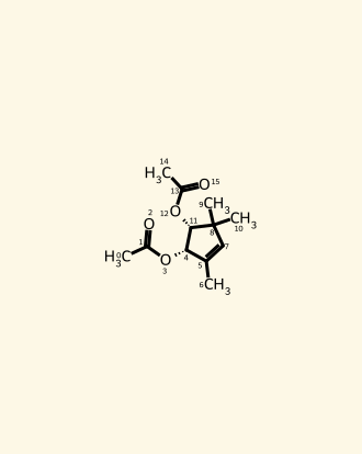 CC(=O)O[C@H]1C(C)=CC(C)(C)[C@H]1OC(C)=O